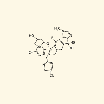 CCC(O)(c1cc(F)c2c(c1)CN(Cc1ncc(C#N)cn1)[C@@]2(OC1CCC(O)C1)c1ccc(Cl)cc1)c1cn(C)cn1